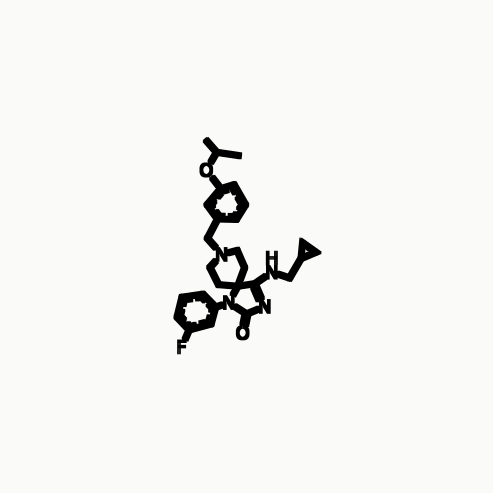 CC(C)Oc1cccc(CN2CCC3(CC2)C(NCC2CC2)=NC(=O)N3c2cccc(F)c2)c1